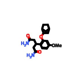 COc1ccc(C(CC(N)=O)CC(N)=O)c(OC2CC3CCC2C3)c1